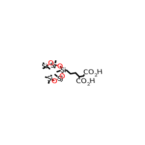 C[Si](C)(C)O[Si](C)(C)O[Si](C)(CCCC(CC(=O)O)C(=O)O)O[Si](C)(C)O[Si](C)(C)C